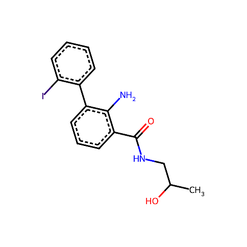 CC(O)CNC(=O)c1cccc(-c2ccccc2I)c1N